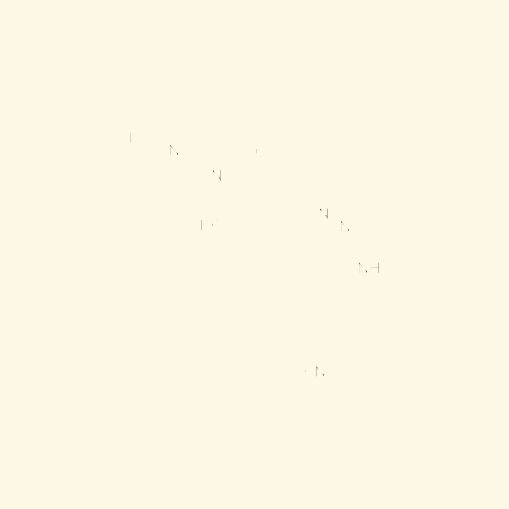 Cc1cc(-c2cc3c(-c4cccc(C#N)c4)c[nH]c3nn2)cc(C)c1N1CCN(C)CC1